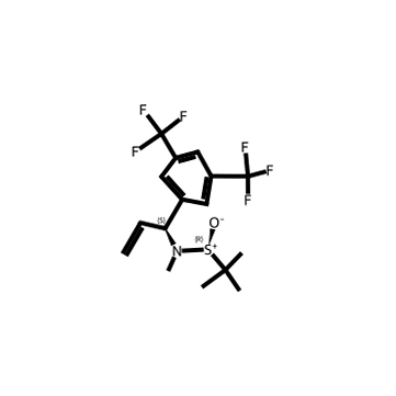 C=C[C@@H](c1cc(C(F)(F)F)cc(C(F)(F)F)c1)N(C)[S@@+]([O-])C(C)(C)C